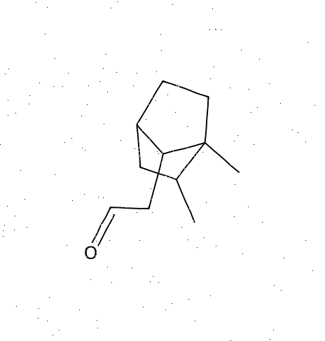 CC1CC2CCC1(C)C2CC=O